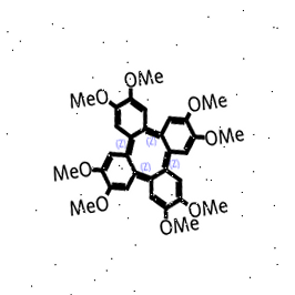 COc1cc2/c(cc1OC)=c1/cc(OC)c(OC)c/c1=c1\cc(OC)c(OC)c\c1=c1/cc(OC)c(OC)c/c1=2